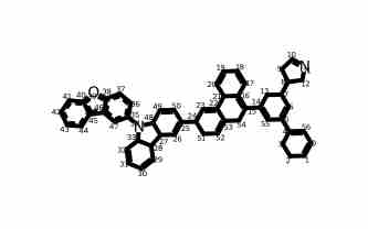 C1=CCCC(C2=CC(C3CC=NC3)CC(C3=C4C=CC=CC4C4=CC(C5=CC6C7C=CC=CC7N(c7ccc8oc9ccccc9c8c7)C6C=C5)CC=C4C3)=C2)=C1